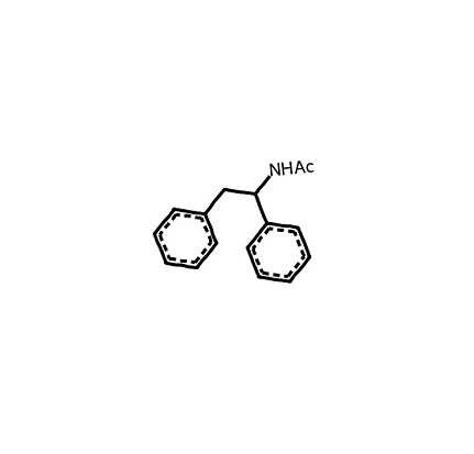 CC(=O)NC(Cc1ccccc1)c1ccccc1